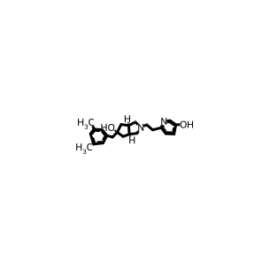 Cc1cc(C)cc(C[C@]2(O)C[C@H]3CN(CCc4ccc(O)cn4)C[C@H]3C2)c1